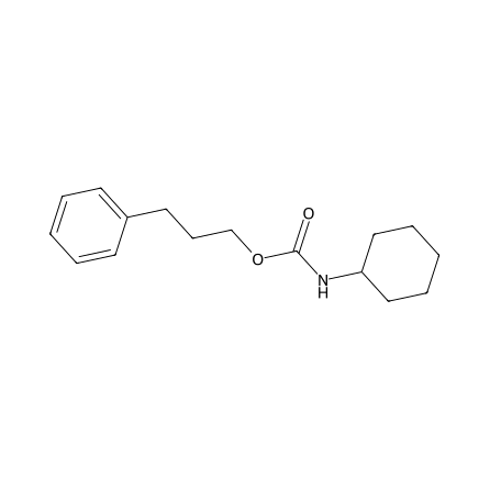 O=C(NC1CCCCC1)OCCCc1ccccc1